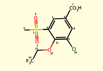 CS(=O)(=O)c1cc(C(=O)O)cc(Cl)c1OCC(F)(F)F